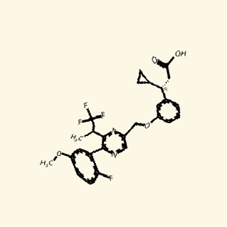 COc1ccc(F)c(-c2ncc(COc3cccc([C@@H](CC(=O)O)C4CC4)c3)nc2C(C)C(F)(F)F)c1